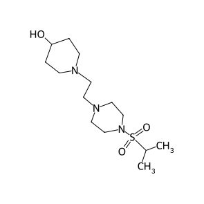 CC(C)S(=O)(=O)N1CCN(CCN2CCC(O)CC2)CC1